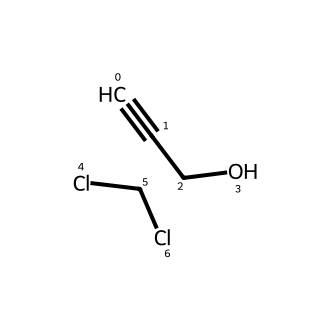 C#CCO.ClCCl